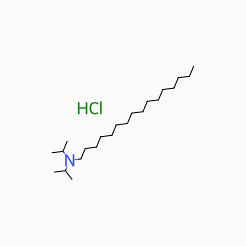 CCCCCCCCCCCCCCCCN(C(C)C)C(C)C.Cl